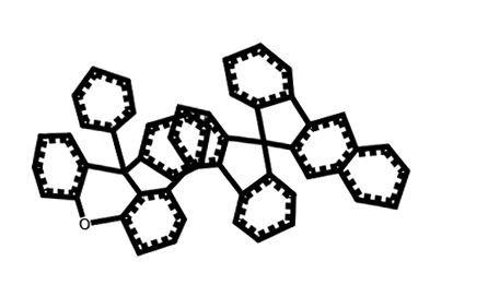 c1ccc(C2(c3ccccc3)c3ccccc3Oc3cccc(-c4cccc5c4-c4ccccc4C54c5ccccc5-c5cc6ccccc6cc54)c32)cc1